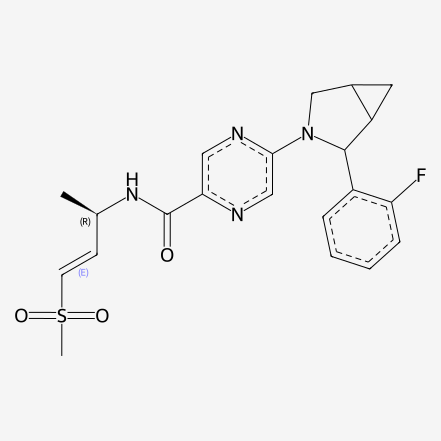 C[C@H](/C=C/S(C)(=O)=O)NC(=O)c1cnc(N2CC3CC3C2c2ccccc2F)cn1